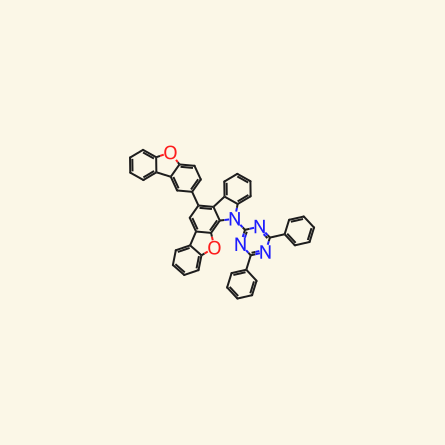 c1ccc(-c2nc(-c3ccccc3)nc(-n3c4ccccc4c4c(-c5ccc6oc7ccccc7c6c5)cc5c6ccccc6oc5c43)n2)cc1